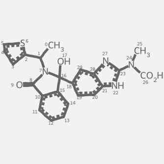 CC(c1cccs1)N1C(=O)c2ccccc2C1(O)c1ccc2[nH]c(N(C)C(=O)O)nc2c1